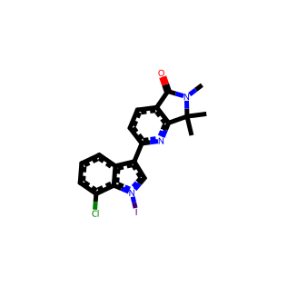 CN1C(=O)c2ccc(-c3cn(I)c4c(Cl)cccc34)nc2C1(C)C